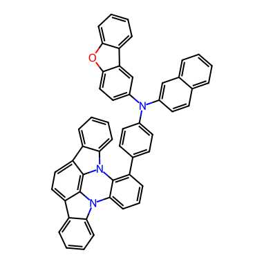 c1ccc2cc(N(c3ccc(-c4cccc5c4n4c6ccccc6c6ccc7c8ccccc8n5c7c64)cc3)c3ccc4oc5ccccc5c4c3)ccc2c1